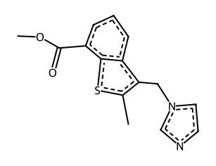 COC(=O)c1cccc2c(Cn3ccnc3)c(C)sc12